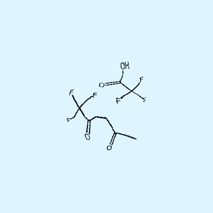 CC(=O)CC(=O)C(F)(F)F.O=C(O)C(F)(F)F